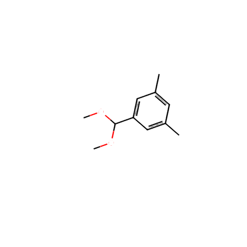 COC(OC)c1cc(C)cc(C)c1